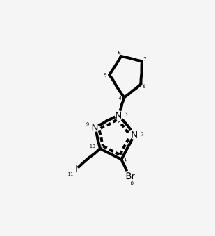 Brc1nn(C2CCCC2)nc1I